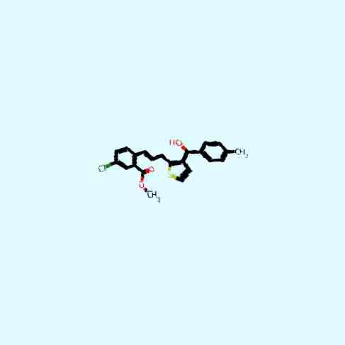 COC(=O)c1cc(Cl)ccc1C=CCc1sccc1C(O)c1ccc(C)cc1